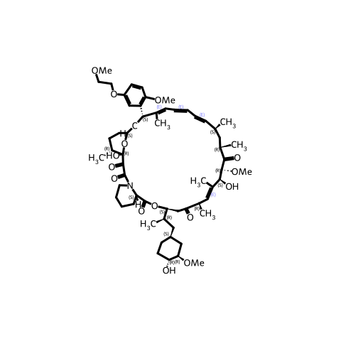 COCCOc1ccc(OC)c([C@H]2C[C@@H]3CC[C@@H](C)[C@@](O)(O3)C(=O)C(=O)N3CCCC[C@H]3C(=O)O[C@H]([C@H](C)C[C@@H]3CC[C@@H](O)[C@H](OC)C3)CC(=O)[C@H](C)/C=C(\C)[C@H](O)[C@@H](OC)C(=O)[C@H](C)C[C@H](C)/C=C/C=C/C=C/2C)c1